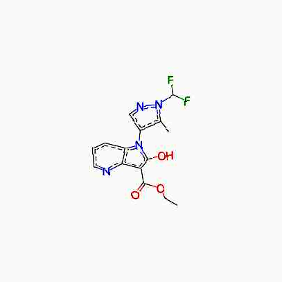 CCOC(=O)c1c(O)n(-c2cnn(C(F)F)c2C)c2cccnc12